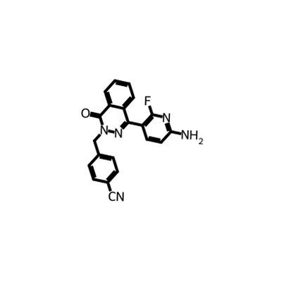 N#Cc1ccc(Cn2nc(-c3ccc(N)nc3F)c3ccccc3c2=O)cc1